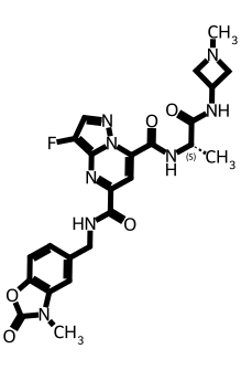 C[C@H](NC(=O)c1cc(C(=O)NCc2ccc3oc(=O)n(C)c3c2)nc2c(F)cnn12)C(=O)NC1CN(C)C1